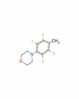 Cc1c(F)c(F)c(N2CCOCC2)c(F)c1F